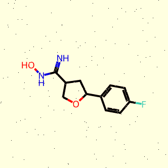 N=C(NO)C1COC(c2ccc(F)cc2)C1